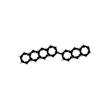 c1ccc2cc3cc(-c4ccc5cc6cc7ccccc7cc6cc5c4)ccc3cc2c1